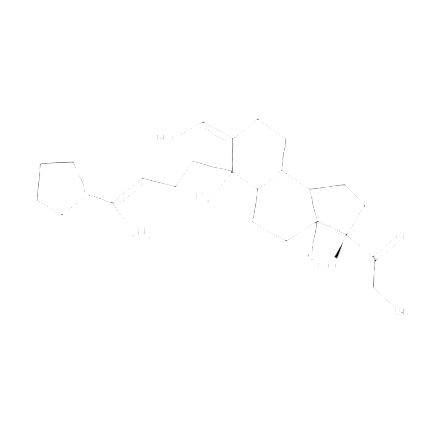 C/C=C1/CCC2C(CCC3(C)C2CC[C@]3(O)C(=O)CBr)C1(C)CC/C=C(\C)N1CCCC1